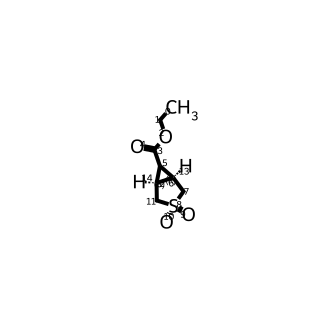 CCOC(=O)C1[C@H]2CS(=O)(=O)C[C@@H]12